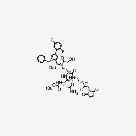 CC(C)(C)OC(=O)N[C@@H](CC(N)=O)C(=O)N[C@@H](CCN(C(=O)CO)[C@@H](c1cc(-c2cc(F)ccc2F)cn1Cc1ccccc1)C(C)(C)C)C(=O)NCCNC(=O)CN1C(=O)C=CC1=O